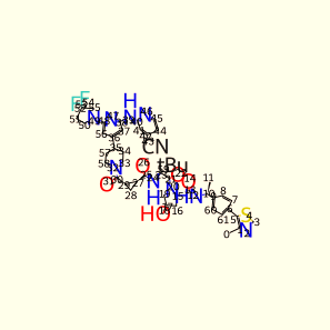 Cc1ncsc1-c1ccc([C@H](C)NC(=O)[C@@H]2C[C@@H](O)CN2C(=O)[C@@H](NC(=O)[C@H]2C[C@H]2C(=O)N2CCC(c3cc(Nc4cc(C#N)ccn4)nc(N4CCC(F)(F)C4)c3)CC2)C(C)(C)C)cc1